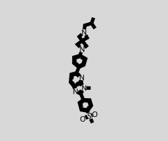 CC(C)CN1CC2(C1)CN(c1ccc(-c3ccc4nc(-c5ccc(S(C)(=O)=O)cc5)n(C)c4n3)cc1)C2